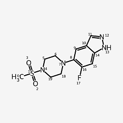 CS(=O)(=O)N1CCN(c2cc3cn[nH]c3cc2F)CC1